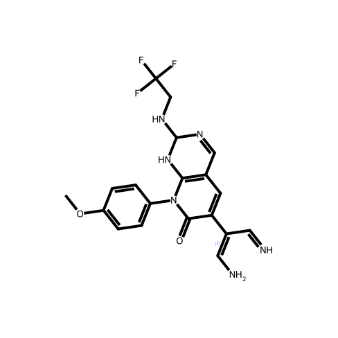 COc1ccc(-n2c3c(cc(/C(C=N)=C/N)c2=O)C=NC(NCC(F)(F)F)N3)cc1